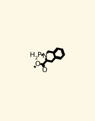 COC(=O)C1Cc2ccccc2CN1P